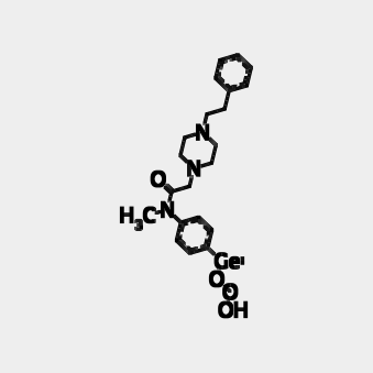 CN(C(=O)CN1CCN(CCc2ccccc2)CC1)c1cc[c]([Ge][O]OO)cc1